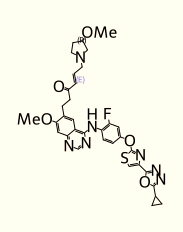 COc1cc2ncnc(Nc3ccc(Oc4nc(-c5nnc(C6CC6)o5)cs4)cc3F)c2cc1CCC(=O)/C=C/CN1CC[C@@H](OC)C1